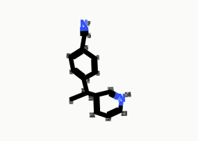 CC(c1ccc(C#N)cc1)c1cccnc1